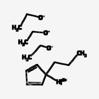 CCC[C]1([Hf+3])C=CC=C1.CC[O-].CC[O-].CC[O-]